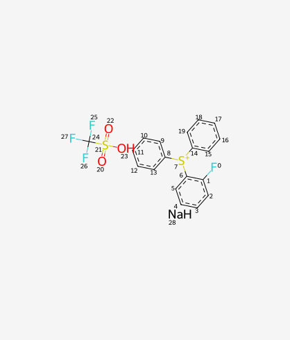 Fc1ccccc1[S+](c1ccccc1)c1ccccc1.O=S(=O)(O)C(F)(F)F.[NaH]